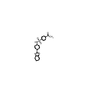 CC(=O)c1ccc(S(=O)(=O)Nc2ccc(-c3nc4ccccc4s3)cc2)cc1